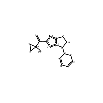 C=C(c1nc2n(n1)C(C1C=CC=CC1)CC2)C1(F)CC1